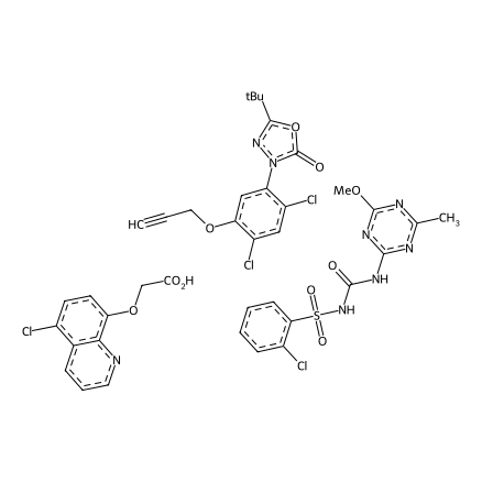 C#CCOc1cc(-n2nc(C(C)(C)C)oc2=O)c(Cl)cc1Cl.COc1nc(C)nc(NC(=O)NS(=O)(=O)c2ccccc2Cl)n1.O=C(O)COc1ccc(Cl)c2cccnc12